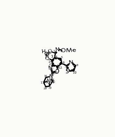 CO/N=C(/C)c1cc(-c2nccs2)c2oc(N3CC4CC(C3)N4)nc2c1OC(F)(F)F